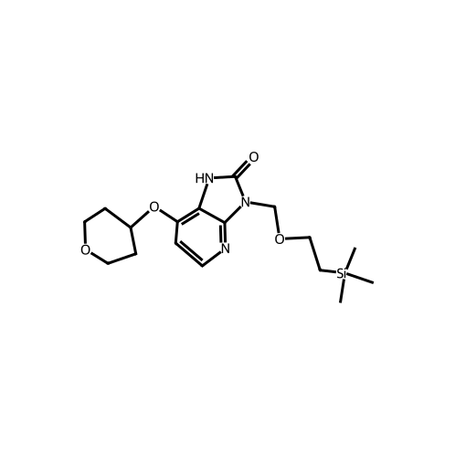 C[Si](C)(C)CCOCn1c(=O)[nH]c2c(OC3CCOCC3)ccnc21